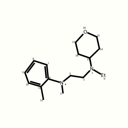 CCN(CCN(C)c1ccccc1C)C1CCOCC1